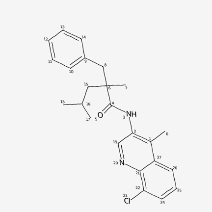 Cc1c(NC(=O)C(C)(Cc2ccccc2)CC(C)C)cnc2c(Cl)cccc12